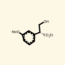 CCOC(=O)[C@@H](CO)c1cccc(OC)c1